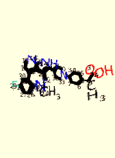 CC(C(=O)O)[C@H]1CC[C@@H](N2CC=C(c3[nH]c4nccc5c4c3CN(C)c3ccc(F)cc3-5)CC2)CC1